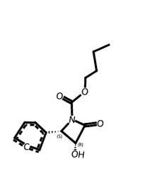 CCCCOC(=O)N1C(=O)[C@H](O)[C@@H]1c1ccccc1